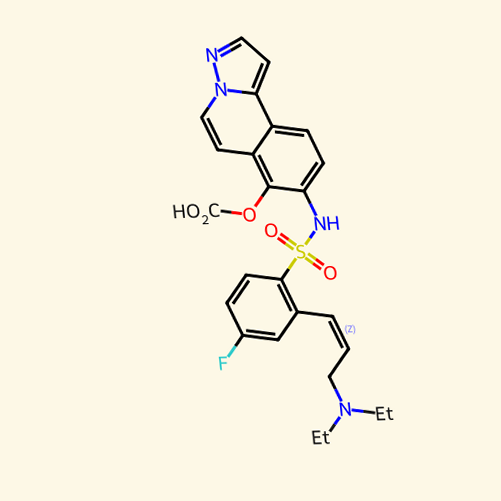 CCN(CC)C/C=C\c1cc(F)ccc1S(=O)(=O)Nc1ccc2c(ccn3nccc23)c1OC(=O)O